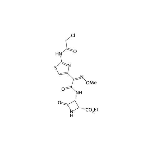 CCOC(=O)[C@@H]1NC(=O)[C@@H]1NC(=O)C(=NOC)c1csc(NC(=O)CCl)n1